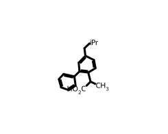 CC(C)Cc1ccc(C(C)C(=O)O)c(-c2ccccc2)c1